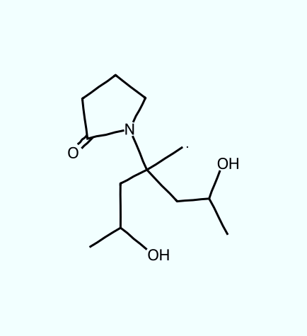 [CH2]C(CC(C)O)(CC(C)O)N1CCCC1=O